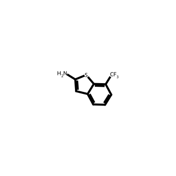 Nc1cc2cccc(C(F)(F)F)c2s1